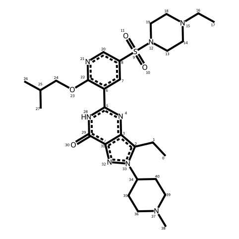 CCc1c2nc(-c3cc(S(=O)(=O)N4CCN(CC)CC4)cnc3OCC(C)C)[nH]c(=O)c2nn1C1CCN(C)CC1